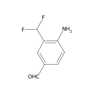 Nc1ccc(C=O)cc1C(F)F